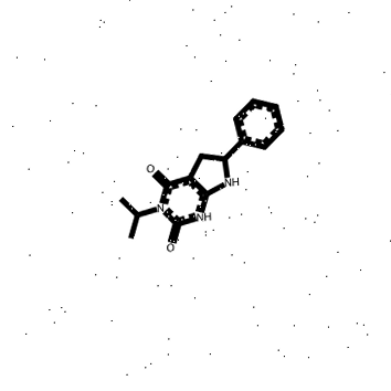 CC(C)n1c(=O)[nH]c2c(c1=O)CC(c1ccccc1)N2